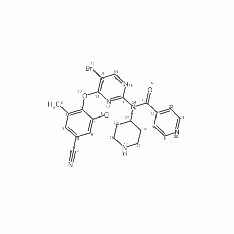 Cc1cc(C#N)cc(Cl)c1Oc1nc(N(C(=O)c2ccncc2)C2CCNCC2)ncc1Br